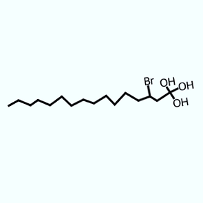 CCCCCCCCCCCCCC(Br)CC(O)(O)O